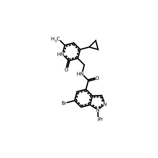 Cc1cc(C2CC2)c(CNC(=O)c2cc(Br)cc3c2cnn3C(C)C)c(=O)[nH]1